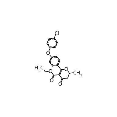 CCOC(=O)C1=C(c2ccc(Oc3ccc(Cl)cc3)cc2)OC(C)CC1=O